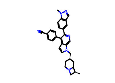 C[C@H]1CN2CC[C@@H](Cn3ccc4c(-c5ccc(C#N)cc5)c(-c5ccc6c(cnn6C)c5)ncc43)CC12